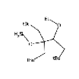 CCOC(CC(C)(C)C)C(CC(C)(C)C)(CC(C)(C)C)O[SiH3]